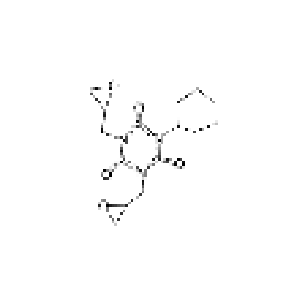 O=c1n(CC2CO2)c(=O)n(C2CCCCC2)c(=O)n1CC1CO1